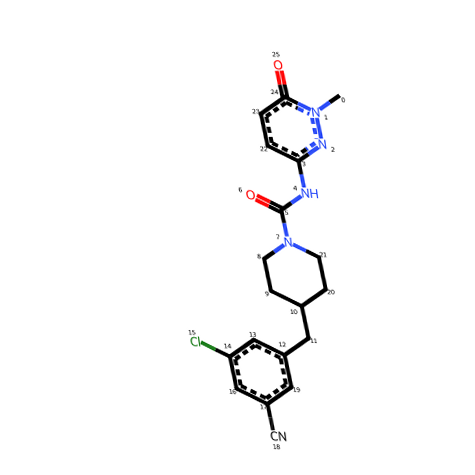 Cn1nc(NC(=O)N2CCC(Cc3cc(Cl)cc(C#N)c3)CC2)ccc1=O